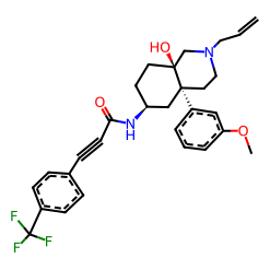 C=CCN1CC[C@@]2(c3cccc(OC)c3)C[C@@H](NC(=O)C#Cc3ccc(C(F)(F)F)cc3)CC[C@]2(O)C1